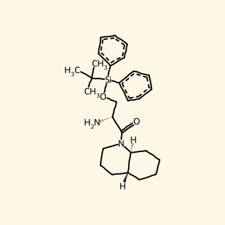 CC(C)(C)[Si](OC[C@@H](N)C(=O)N1CCC[C@H]2CCCC[C@@H]21)(c1ccccc1)c1ccccc1